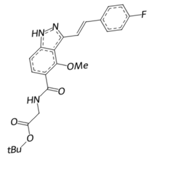 COc1c(C(=O)NCC(=O)OC(C)(C)C)ccc2[nH]nc(/C=C/c3ccc(F)cc3)c12